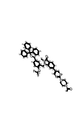 CC(=O)N1CCN(c2ncc(-c3ccc4c(=O)n(C)n(Cc5cc(COC(c6ccccc6)(c6ccccc6)c6ccccc6)ccc5OC(F)F)c4c3)cn2)CC1